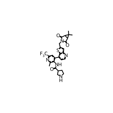 Cc1nc(C(F)(F)F)cc(-c2ccnc3cc(CN4C(=O)C5C(C4=O)C5(C)C)sc23)c1NC(=O)C1CCNC1